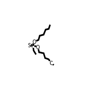 CCCCCCOP(=S)(CC)OCCCCCC